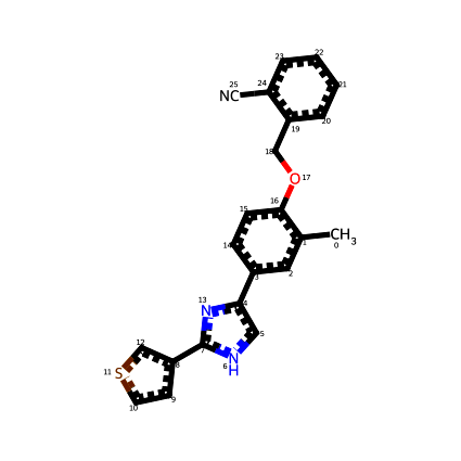 Cc1cc(-c2c[nH]c(-c3ccsc3)n2)ccc1OCc1ccccc1C#N